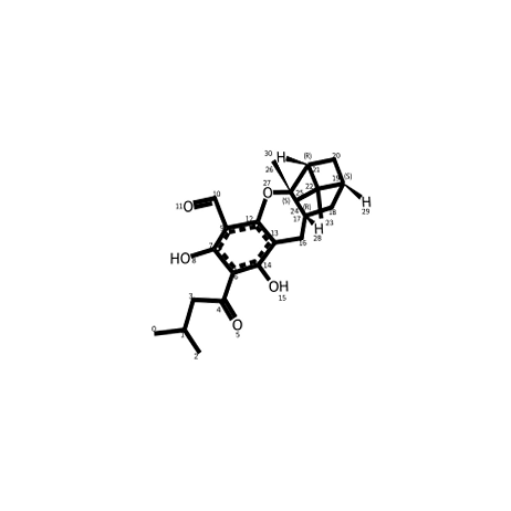 CC(C)CC(=O)c1c(O)c(C=O)c2c(c1O)C[C@H]1C[C@H]3C[C@H](C3(C)C)[C@@]1(C)O2